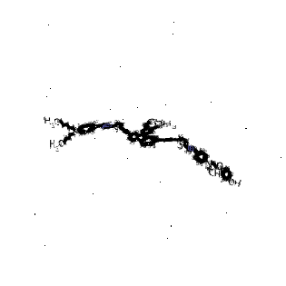 CCCCCCN(CCCCCC)c1ccc(/C=C/c2ccc(C#Cc3ccc4c(c3)C(CCCC)(CCCC)c3cc(C#Cc5ccc(/C=C/c6ccc(N(CC)CCOc7ccc(O)cc7)cc6)s5)ccc3-4)s2)cc1